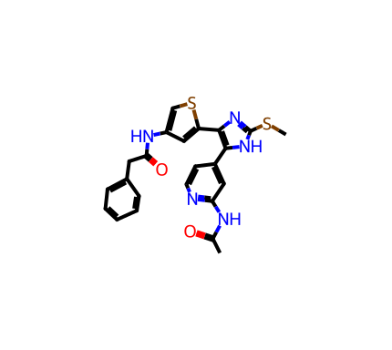 CSc1nc(-c2cc(NC(=O)Cc3ccccc3)cs2)c(-c2ccnc(NC(C)=O)c2)[nH]1